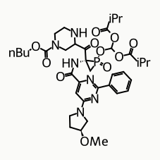 CCCCOC(=O)N1CCNC(C(=O)[C@]2(NC(=O)c3cc(N4CC[C@H](OC)C4)nc(-c4ccccc4)n3)CP2(=O)OC(OC(=O)C(C)C)OC(=O)C(C)C)C1